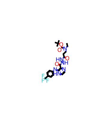 CCN(CCC(=O)NNC(=O)c1nccnc1Nc1ccc(C(F)(F)F)cc1)C(=O)OC(C)(C)C